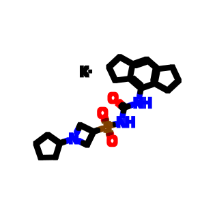 O=C(Nc1c2c(cc3c1CCC3)CCC2)NS(=O)(=O)C1CN(C2CCCC2)C1.[K]